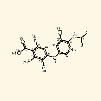 CC(C)Oc1ncc(Oc2cc(F)c(C(=O)O)c(F)c2F)cc1Cl